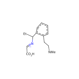 CCC(/N=C/C(=O)O)c1ccccc1CCNC